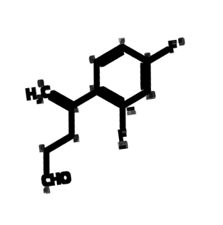 C=C(CCC=O)c1ccc(F)cc1F